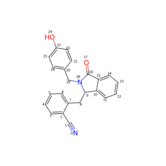 N#Cc1ccccc1CC1c2ccccc2C(=O)N1Cc1ccc(O)cc1